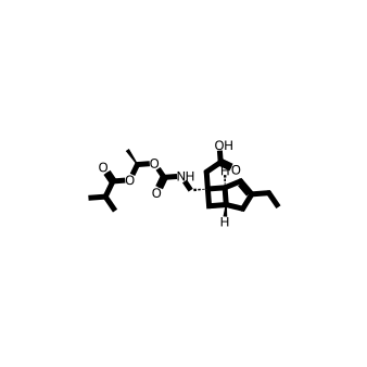 CCC1=C[C@H]2[C@H](C1)C[C@@]2(CNC(=O)O[C@H](C)OC(=O)C(C)C)CC(=O)O